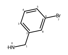 [NH]Cc1cccc(Br)c1